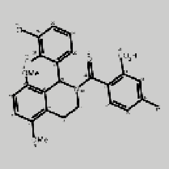 COc1ccc(OC)c2c1CCN(C(=O)c1ccc(C)cc1C(=O)O)C2c1cccc(Cl)c1Cl